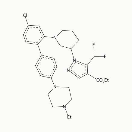 CCOC(=O)c1cnn(C2CCCN(c3cc(Cl)ccc3-c3ccc(N4CCN(CC)CC4)cc3)C2)c1C(F)F